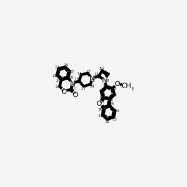 COc1cc2c(cc1N1C=CC1N1CCC(N3C(=O)OCc4ccccc43)CC1)oc1ccccc12